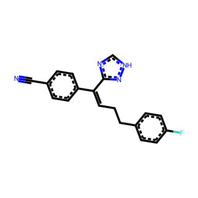 N#Cc1ccc(C(=CCCc2ccc(F)cc2)c2nc[nH]n2)cc1